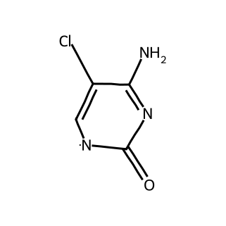 NC1=NC(=O)[N]C=C1Cl